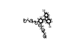 COCCOCCOc1ccc(C2c3cc(C)ccc3-c3ccc(C)cc32)cc1OCCOCCOC